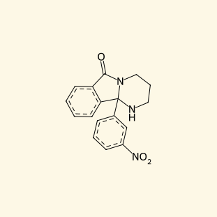 O=C1c2ccccc2C2(c3cccc([N+](=O)[O-])c3)NCCCN12